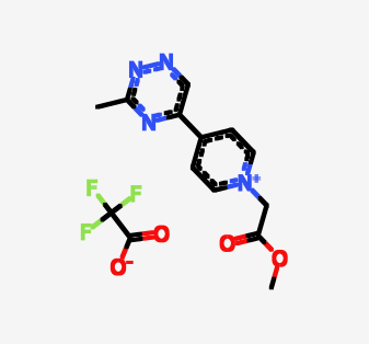 COC(=O)C[n+]1ccc(-c2cnnc(C)n2)cc1.O=C([O-])C(F)(F)F